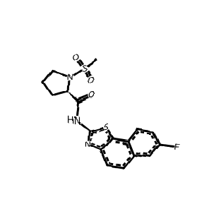 CS(=O)(=O)N1CCC[C@@H]1C(=O)Nc1nc2ccc3cc(F)ccc3c2s1